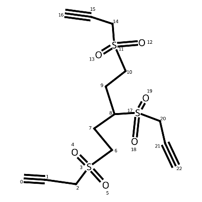 C#CCS(=O)(=O)CCC(CCS(=O)(=O)CC#C)S(=O)(=O)CC#C